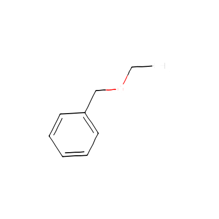 C[CH]OCc1ccccc1